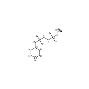 CC(C)(C)CC(C)(C)CCC(C)(C)CC1CCOCC1